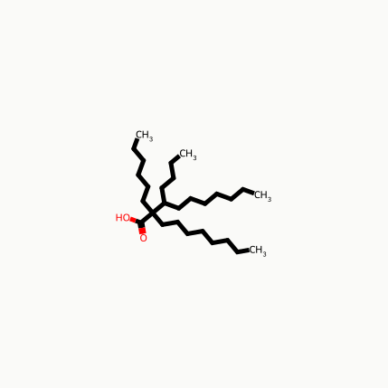 CCCCCCCCC(CCCCCC)(C(=O)O)C(CCCC)CCCCCCC